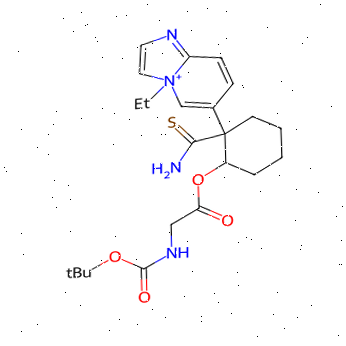 CC[N+]12C=CN=C1C=CC(C1(C(N)=S)CCCCC1OC(=O)CNC(=O)OC(C)(C)C)=C2